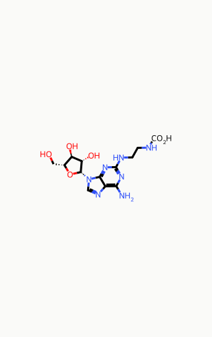 Nc1nc(NCCNC(=O)O)nc2c1ncn2[C@@H]1O[C@H](CO)[C@@H](O)[C@@H]1O